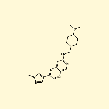 CN(C)C1CCC(CNc2cc3cc(-c4cnn(C)c4)cnc3cn2)CC1